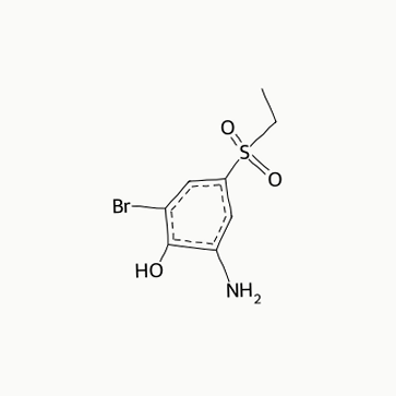 CCS(=O)(=O)c1cc(N)c(O)c(Br)c1